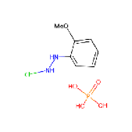 COc1ccccc1NNCl.O=P(O)(O)O